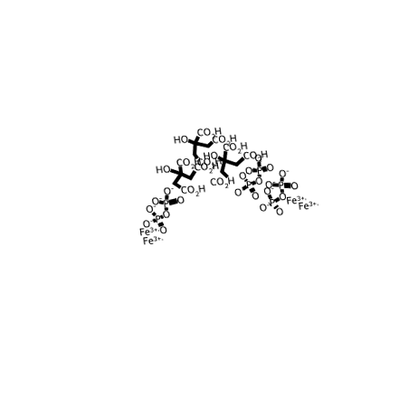 O=C(O)CC(O)(CC(=O)O)C(=O)O.O=C(O)CC(O)(CC(=O)O)C(=O)O.O=C(O)CC(O)(CC(=O)O)C(=O)O.O=P([O-])([O-])OP(=O)([O-])[O-].O=P([O-])([O-])OP(=O)([O-])[O-].O=P([O-])([O-])OP(=O)([O-])[O-].[Fe+3].[Fe+3].[Fe+3].[Fe+3]